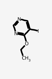 CCOc1ncncc1I